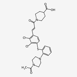 CC(=O)N1CCN(c2ccccc2Sc2ccc(C=CC(=O)N3CCC(C(=O)O)CC3)c(Cl)c2Cl)CC1